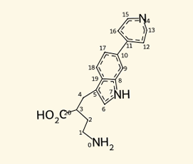 NCCC(Cc1c[nH]c2cc(-c3ccncc3)ccc12)C(=O)O